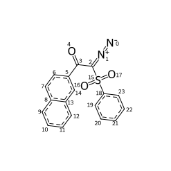 [N-]=[N+]=C(C(=O)c1ccc2ccccc2c1)S(=O)(=O)c1ccccc1